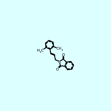 Cc1cccc(C)c1/C=C/CN1C(=O)c2ccccc2C1=O